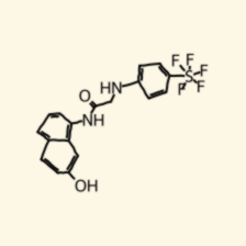 O=C(CNc1ccc(S(F)(F)(F)(F)F)cc1)Nc1cccc2ccc(O)cc12